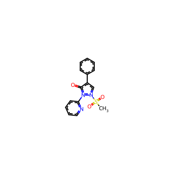 CS(=O)(=O)n1cc(-c2ccccc2)c(=O)n1-c1ccccn1